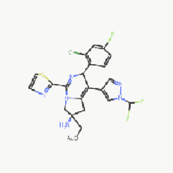 CC(=O)OC[C@@]1(N)CC2=C(c3cnn(C(F)F)c3)[C@H](c3ccc(F)cc3Cl)N=C(c3nccs3)N2C1